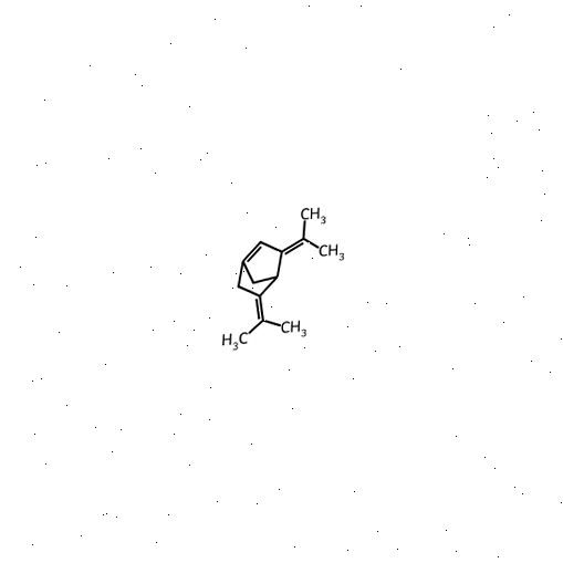 CC(C)=C1C=C2CC(=C(C)C)C1C2